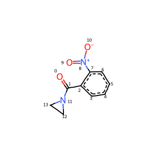 O=C(c1ccccc1[N+](=O)[O-])N1CC1